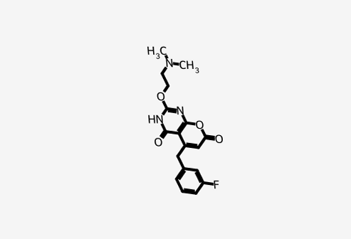 CN(C)CCOc1nc2oc(=O)cc(Cc3cccc(F)c3)c2c(=O)[nH]1